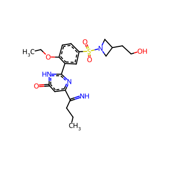 CCCC(=N)c1cc(=O)[nH]c(-c2cc(S(=O)(=O)N3CC(CCO)C3)ccc2OCC)n1